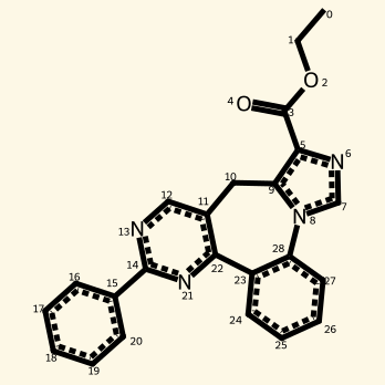 CCOC(=O)c1ncn2c1Cc1cnc(-c3ccccc3)nc1-c1ccccc1-2